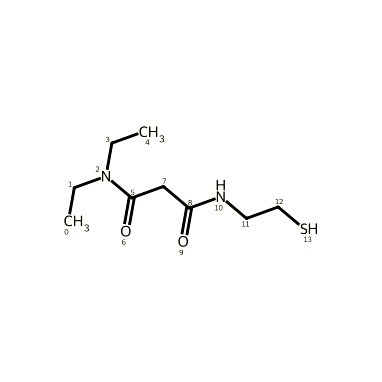 CCN(CC)C(=O)CC(=O)NCCS